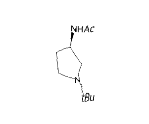 CC(=O)N[C@@H]1CCN(C(C)(C)C)C1